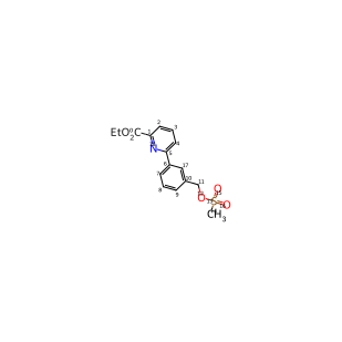 CCOC(=O)c1cccc(-c2cccc(COS(C)(=O)=O)c2)n1